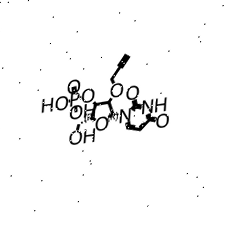 C#CCOC1C(OP(=O)(O)O)[C@@H](CO)O[C@H]1n1ccc(=O)[nH]c1=O